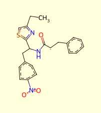 CCc1csc(C(Cc2ccc([N+](=O)[O-])cc2)NC(=O)[CH]Cc2ccccc2)n1